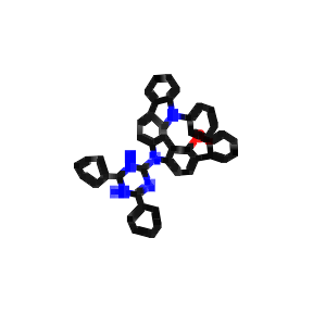 c1ccc(C2=NC(n3c4ccc5c6ccccc6oc5c4c4c5c(ccc43)c3ccccc3n5-c3ccccc3)NC(c3ccccc3)N2)cc1